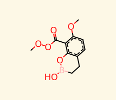 COOC(=O)c1c(OC)ccc2c1OB(O)CC2